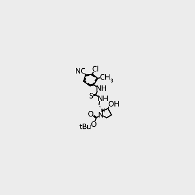 Cc1c(NC(=S)NC[C@@H]2C(O)CCN2C(=O)OC(C)(C)C)ccc(C#N)c1Cl